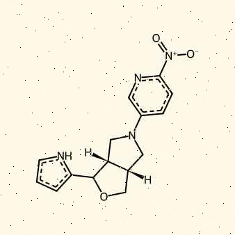 O=[N+]([O-])c1ccc(N2C[C@@H]3COC(c4ccc[nH]4)[C@@H]3C2)cn1